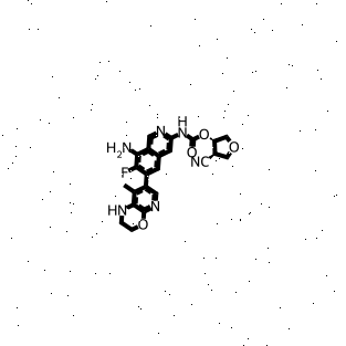 Cc1c(-c2cc3cc(NC(=O)O[C@@H]4COC[C@H]4C#N)ncc3c(N)c2F)cnc2c1NCCO2